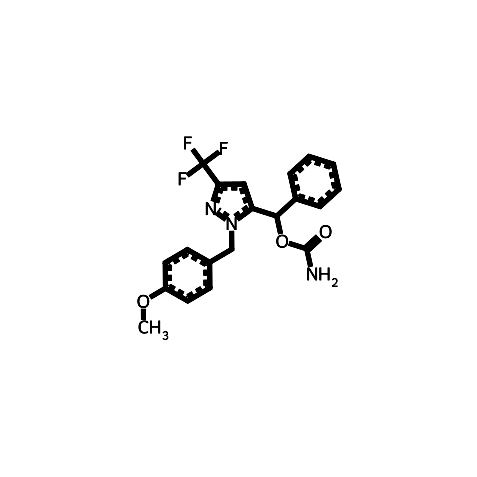 COc1ccc(Cn2nc(C(F)(F)F)cc2C(OC(N)=O)c2ccccc2)cc1